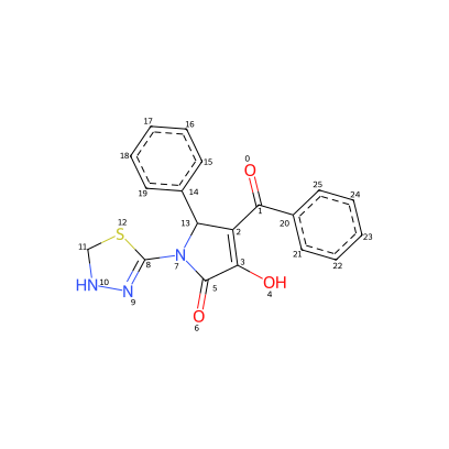 O=C(C1=C(O)C(=O)N(C2=NNCS2)C1c1ccccc1)c1ccccc1